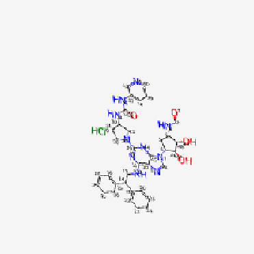 Cl.O=CN[C@H]1C[C@@H](n2cnc3c(NCC(c4ccccc4)c4ccccc4)nc(N4CCC(NC(=O)Nc5cccnc5)C4)nc32)[C@H](O)[C@@H]1O